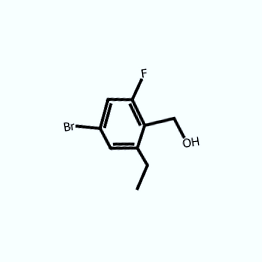 CCc1cc(Br)cc(F)c1CO